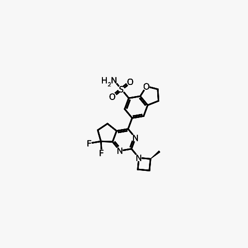 C[C@H]1CCN1c1nc(-c2cc3c(c(S(N)(=O)=O)c2)OCC3)c2c(n1)C(F)(F)CC2